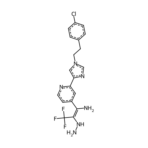 NN/C(=C(\N)c1ccnc(-c2cn(CCc3ccc(Cl)cc3)cn2)c1)C(F)(F)F